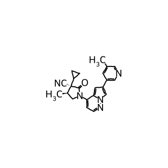 Cc1cncc(-c2cc3c(N4C[C@@H](C)[C@@](C#N)(C5CC5)C4=O)ccnn3c2)c1